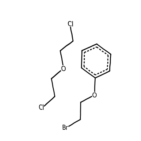 BrCCOc1ccccc1.ClCCOCCCl